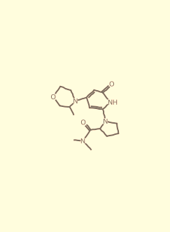 CC1COCCN1c1cc(N2CCCC2C(=O)N(C)C)[nH]c(=O)c1